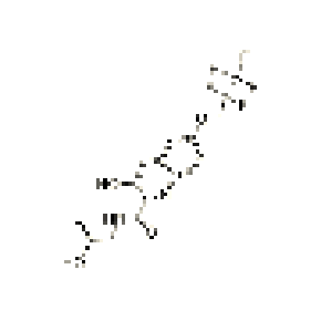 O=C(O)CNC(=O)c1nc2ccc(OCC(F)(F)C(F)(F)F)cc2cc1O